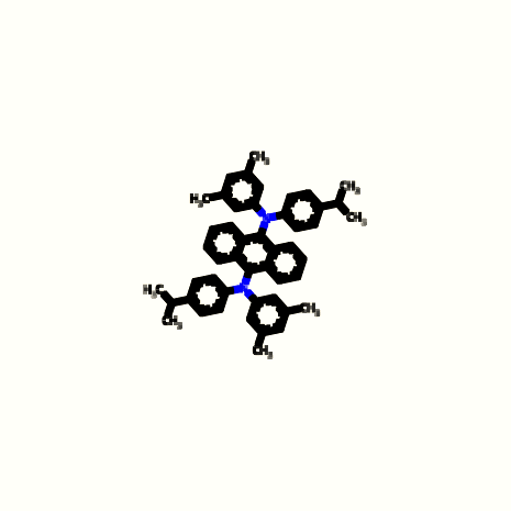 Cc1cc(C)cc(N(c2ccc(C(C)C)cc2)c2c3ccccc3c(N(c3ccc(C(C)C)cc3)c3cc(C)cc(C)c3)c3ccccc23)c1